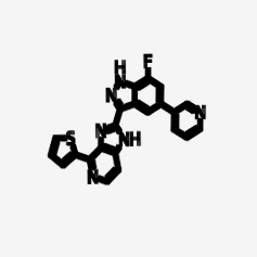 Fc1cc(-c2cccnc2)cc2c(-c3nc4c(-c5cccs5)nccc4[nH]3)n[nH]c12